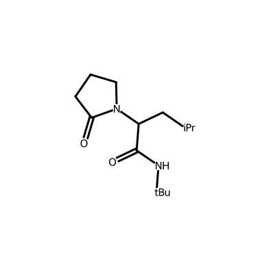 CC(C)CC(C(=O)NC(C)(C)C)N1CCCC1=O